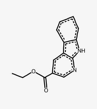 CCOC(=O)c1cnc2[nH]c3ccccc3c2c1